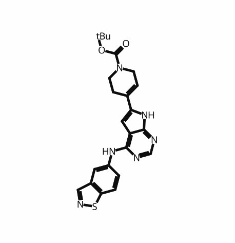 CC(C)(C)OC(=O)N1CC=C(c2cc3c(Nc4ccc5sncc5c4)ncnc3[nH]2)CC1